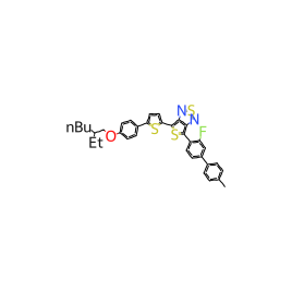 CCCCC(CC)COc1ccc(-c2ccc(-c3sc(-c4ccc(-c5ccc(C)cc5)cc4F)c4c3N=S=N4)s2)cc1